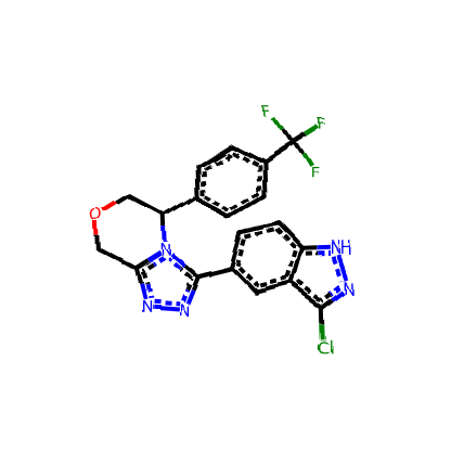 FC(F)(F)c1ccc(C2COCc3nnc(-c4ccc5[nH]nc(Cl)c5c4)n32)cc1